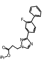 CC(C)OC(=O)CCn1cnc(-c2ccc(-c3ccccc3)c(F)c2)n1